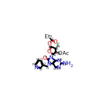 CCC(=O)O[C@H]1O[C@@H](n2c(=O)n(Cc3cccnc3)c3cnc(N)nc32)[C@H](OC(C)=O)[C@H]1F